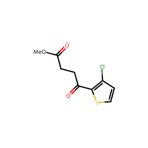 COC(=O)CCC(=O)c1sccc1Cl